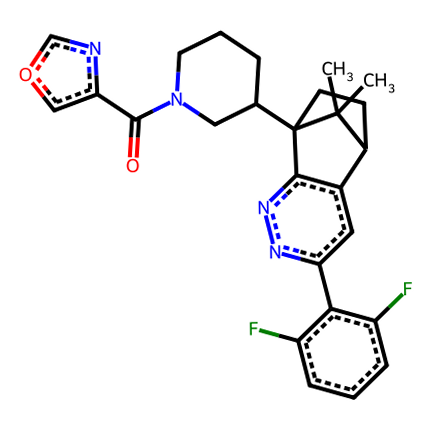 CC1(C)C2CCC1(C1CCCN(C(=O)c3cocn3)C1)c1nnc(-c3c(F)cccc3F)cc12